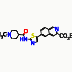 CCOC(=O)c1cc2cc(-c3cnc(NC(=O)C4CCN(C)CC4)s3)ccc2cn1